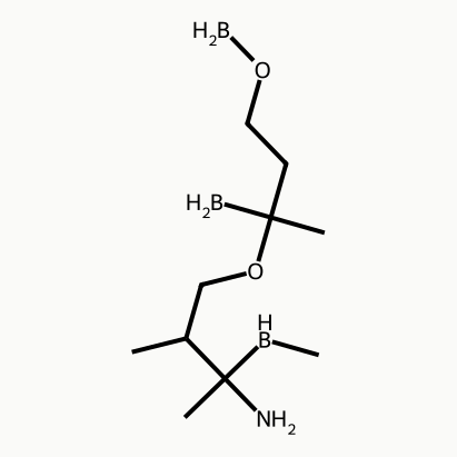 BOCCC(B)(C)OCC(C)C(C)(N)BC